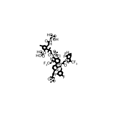 Cc1cc(CC(=O)NCP(=O)(O)O)c(C(C)(C)CC(=O)N(c2nn(CC(F)(F)F)c3c(-c4ccc(C#CC(C)(C)S(C)(=O)=O)nc4[C@H](Cc4cc(F)cc(F)c4)NC(=O)Cn4nc(C(F)(F)F)c5c4C(F)(F)[C@@H]4CC54)ccc(Cl)c23)S(C)(=O)=O)c(OP(=O)(O)O)c1